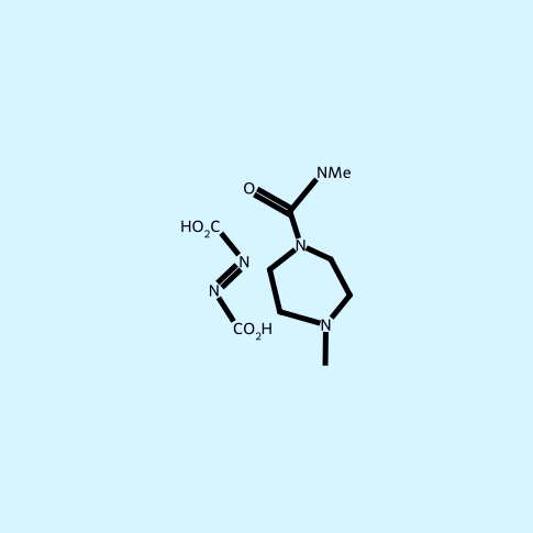 CNC(=O)N1CCN(C)CC1.O=C(O)N=NC(=O)O